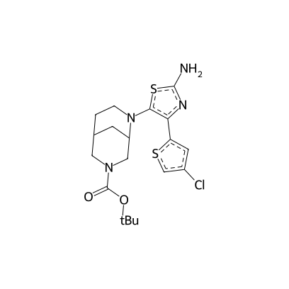 CC(C)(C)OC(=O)N1CC2CCN(c3sc(N)nc3-c3cc(Cl)cs3)C(C2)C1